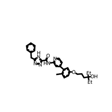 CCC(O)(CC)CCCOc1ccc(C)c(-c2ccnc(NC(=O)c3nnc(Cc4ccccc4)[nH]3)c2)c1